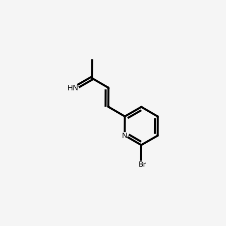 CC(=N)/C=C/c1cccc(Br)n1